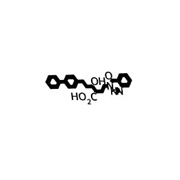 O=C(O)C(CCn1nnc2ccccc2c1=O)C(O)CCc1ccc(-c2ccccc2)cc1